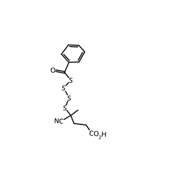 CC(C#N)(CCC(=O)O)SSSSC(=O)c1ccccc1